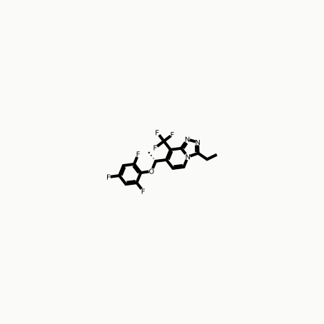 CCc1nnc2c(C(F)(F)F)c([C@@H](C)Oc3c(F)cc(F)cc3F)ccn12